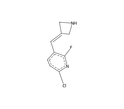 Fc1nc(Cl)ccc1C=C1CNC1